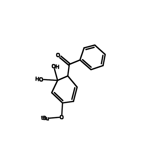 CC(C)(C)OC1=CC(O)(O)C(C(=O)c2ccccc2)C=C1